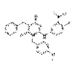 COc1ccc(Cn2c(Nc3ccc(F)c([N+](=O)[O-])c3)nc(=O)n(Cc3ccccc3)c2=O)cc1